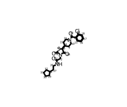 O=C(CN1C(=O)SC(=C2CCN(C(=O)c3ccccc3Cl)CC2)C1=O)NCCC1CCCC1